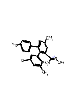 Cc1cc(Cl)cc(-c2c(/C(N)=N/O)cc(C)cc2-c2ccc(O)cc2)c1